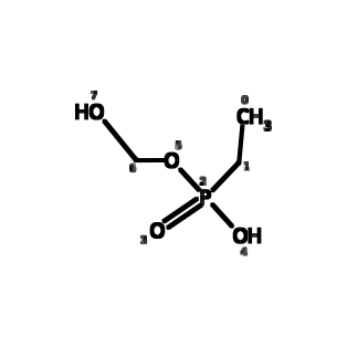 CCP(=O)(O)OCO